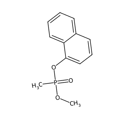 COP(C)(=O)Oc1cccc2ccccc12